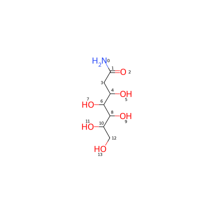 NC(=O)CC(O)C(O)C(O)C(O)CO